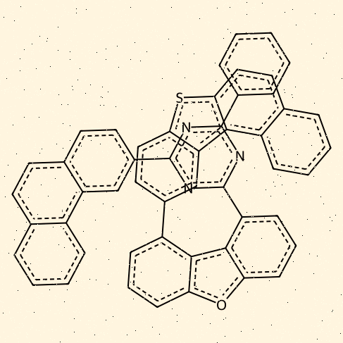 c1ccc(-c2nc(-c3ccc4ccc5ccccc5c4c3)nc(-c3cccc4oc5cccc(-c6ccc7sc8ccc9ccccc9c8c7c6)c5c34)n2)cc1